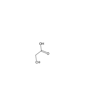 [CH]CC(=O)O